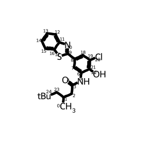 CC(CC(=O)Nc1cc(-c2nc3ccccc3s2)cc(Cl)c1O)CC(C)(C)C